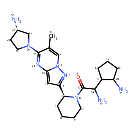 Cc1cn2nc([C@@H]3CCCCN3C(=O)C(N)C3CCCC3N)cc2nc1N1CC[C@H](N)C1